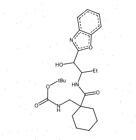 CCC(NC(=O)C1(CNC(=O)OC(C)(C)C)CCCCC1)C(O)c1nc2ccccc2o1